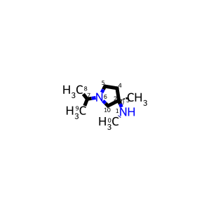 CN[C@]1(C)CCN(C(C)C)C1